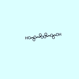 O=C(CCO)OCCCC(=O)OCOC(=O)CCCOC(=O)CCO